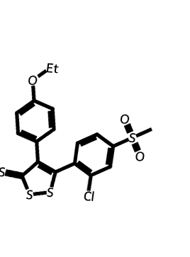 CCOc1ccc(-c2c(-c3ccc(S(C)(=O)=O)cc3Cl)ssc2=S)cc1